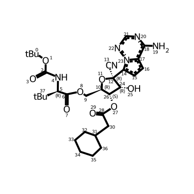 CC(C)(C)OC(=O)N[C@@H](C(=O)OC[C@H]1O[C@@](C#N)(c2ccc3c(N)ncnn23)[C@H](O)[C@@H]1OC(=O)CC1CCCCC1)C(C)(C)C